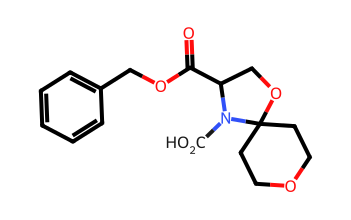 O=C(OCc1ccccc1)C1COC2(CCOCC2)N1C(=O)O